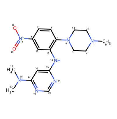 CN1CCN(c2ccc([N+](=O)[O-])cc2Nc2cc(N(C)C)ncn2)CC1